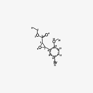 CCOC(=O)C1OC1c1cc(Br)ccc1OC